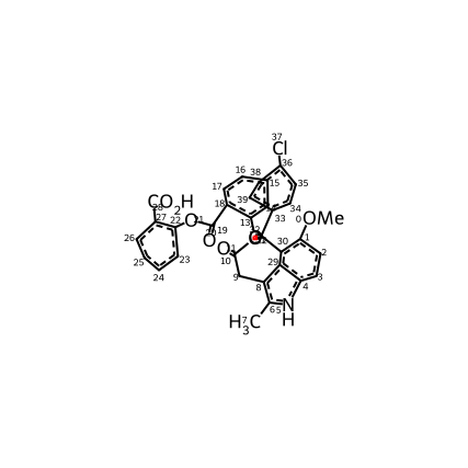 COc1ccc2[nH]c(C)c(CC(=O)Oc3ccccc3C(=O)Oc3ccccc3C(=O)O)c2c1C(=O)c1ccc(Cl)cc1